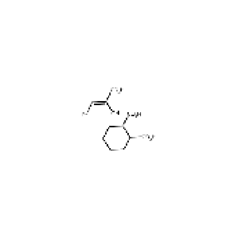 CC/C=C(\O)C(=O)O.O=C(O)C1CCCCC1C(=O)O